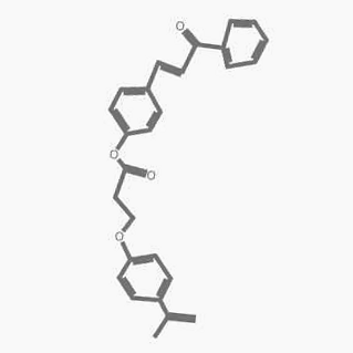 C=C(C)c1ccc(OCCC(=O)Oc2ccc(C=CC(=O)c3ccccc3)cc2)cc1